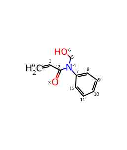 C=CC(=O)N(CO)c1ccccc1